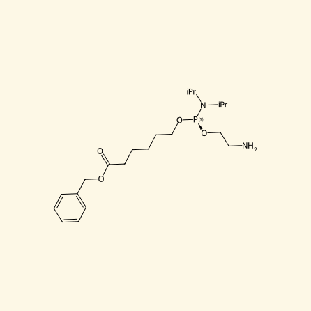 CC(C)N(C(C)C)[P@@](OCCN)OCCCCCC(=O)OCc1ccccc1